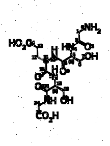 NCC(=O)N[C@@H](CO)C(=O)N[C@@H](CCC(=O)O)C(=O)N[C@@H](CO)C(=O)NCC(=O)O